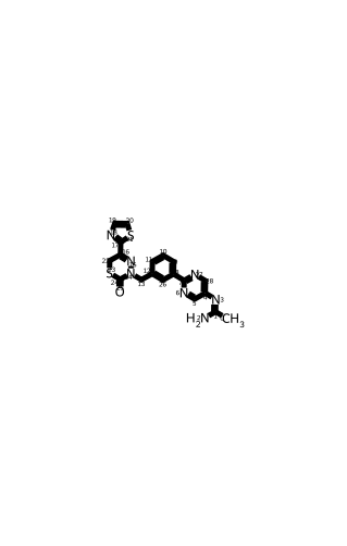 CC(N)=Nc1cnc(-c2cccc(CN3N=C(c4nccs4)CSC3=O)c2)nc1